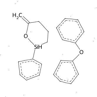 C=C1CCC[SiH](c2ccccc2)O1.c1ccc(Oc2ccccc2)cc1